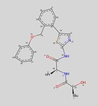 CCC[C@H](NC(=O)[C@@H](O)C(C)(C)C)C(=O)Nc1ncc(-c2ccccc2COc2ccccc2)s1